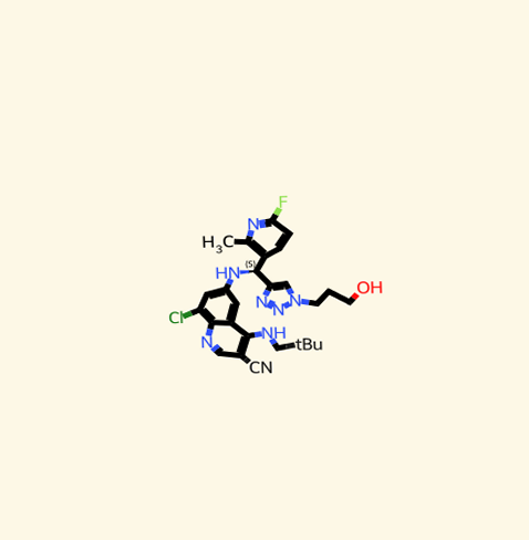 Cc1nc(F)ccc1[C@H](Nc1cc(Cl)c2ncc(C#N)c(NCC(C)(C)C)c2c1)c1cn(CCCO)nn1